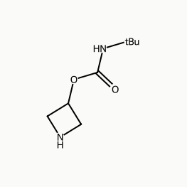 CC(C)(C)NC(=O)OC1CNC1